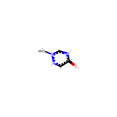 CSn1cnc(=O)cn1